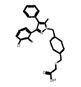 Cc1c(-c2ccccc2)c(-c2cccc(Cl)c2F)nn1CC1CCC(COCC(=O)O)CC1